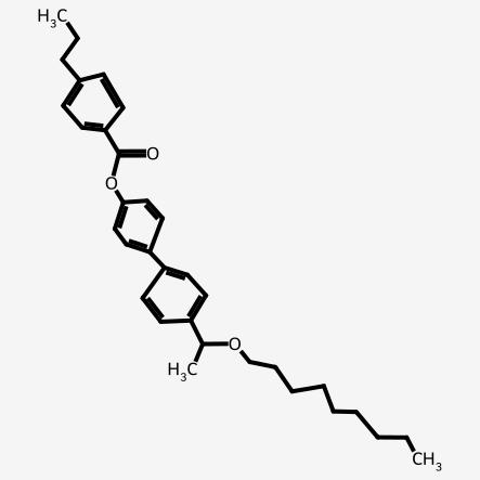 CCCCCCCCCOC(C)c1ccc(-c2ccc(OC(=O)c3ccc(CCC)cc3)cc2)cc1